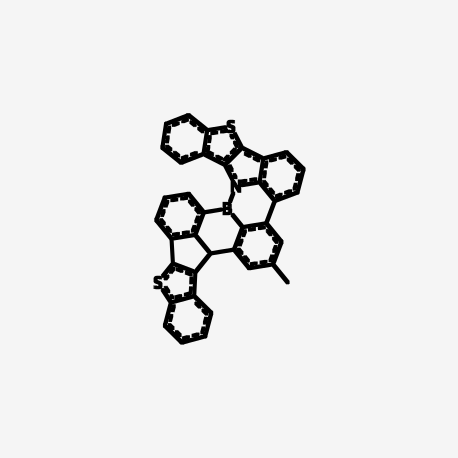 Cc1cc2c3c(c1)C1c4c(cccc4-c4sc5ccccc5c41)B3n1c3c-2cccc3c2sc3ccccc3c21